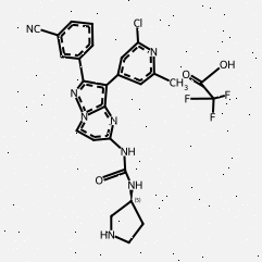 Cc1cc(-c2c(-c3cccc(C#N)c3)nn3ccc(NC(=O)N[C@H]4CCNC4)nc23)cc(Cl)n1.O=C(O)C(F)(F)F